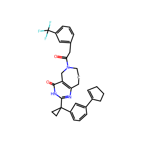 O=C(Cc1cccc(C(F)(F)F)c1)N1CCCc2nc(C3(c4cccc(C5=CCCC5)c4)CC3)[nH]c(=O)c2C1